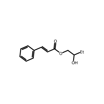 CCC(O)COC(=O)/C=C/c1ccccc1